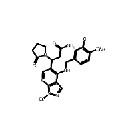 CCn1ncc2c(NCc3ccc(OC)c(Cl)c3)c(C(CC(N)=O)N3CCCC3=O)cnc21